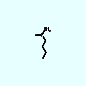 BP(C)CCCC